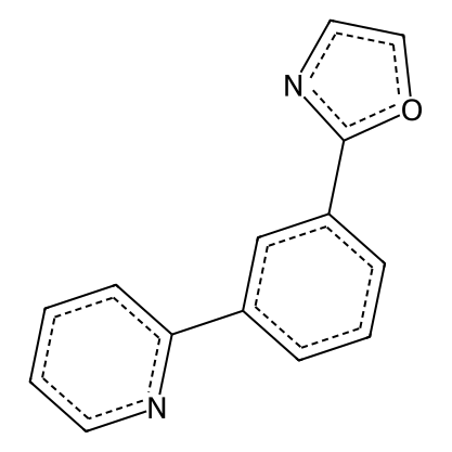 c1ccc(-c2cccc(-c3ncco3)c2)nc1